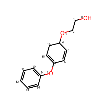 OCCOC1C=CC(Oc2ccccc2)=CC1